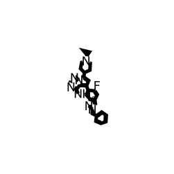 Nc1ncnn2c(C3CCN(C4CC4)CC3)cc(-c3cc4nn(Cc5ccccc5)cc4cc3F)c12